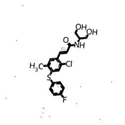 Cc1cc(/C=C/C(=O)NC(CO)CO)c(Cl)cc1Sc1ccc(F)cc1